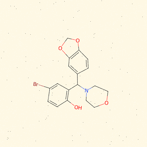 Oc1ccc(Br)cc1C(c1ccc2c(c1)OCO2)N1CCOCC1